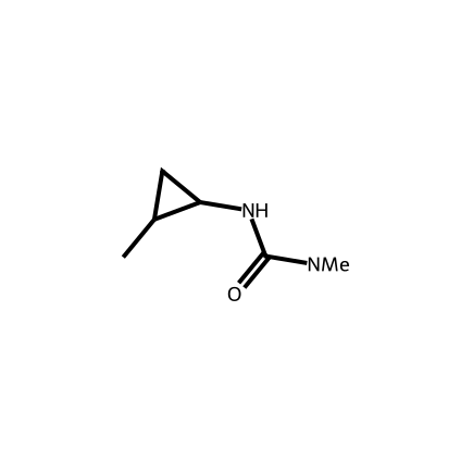 CNC(=O)NC1CC1C